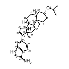 CC(C)O[C@@H]1CC[C@@]2(C)[C@@H](CC[C@@H]3[C@@H]2CC[C@]2(C)C(c4ccc5c(N)n[nH]c5c4)=CC[C@@H]32)C1